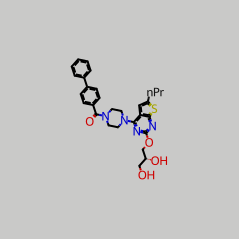 CCCc1cc2c(N3CCN(C(=O)c4ccc(-c5ccccc5)cc4)CC3)nc(OC[C@H](O)CO)nc2s1